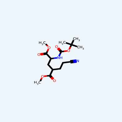 COC(=O)C(CCC#N)CC(NC(=O)OC(C)(C)C)C(=O)OC